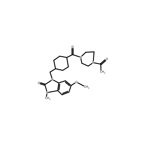 COc1ccc2c(c1)n(CC1CCC(C(=O)N3CCN(C(C)=O)CC3)CC1)c(=O)n2C